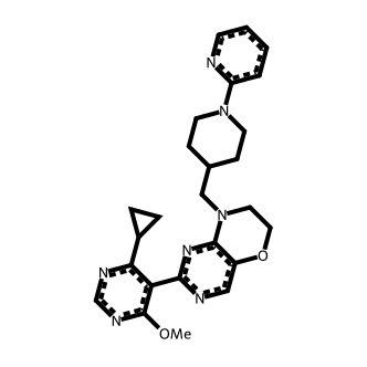 COc1ncnc(C2CC2)c1-c1ncc2c(n1)N(CC1CCN(c3ccccn3)CC1)CCO2